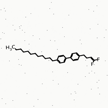 CCCCCCCCCCCCc1ccc(-c2ccc(CCC=C(F)F)cc2)cc1